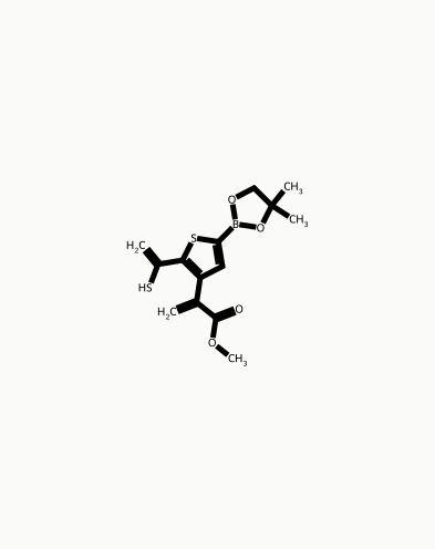 C=C(C(=O)OC)c1cc(B2OCC(C)(C)O2)sc1C(=C)S